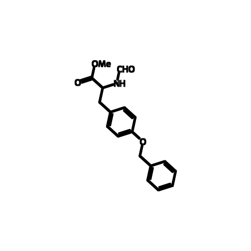 COC(=O)C(Cc1ccc(OCc2ccccc2)cc1)NC=O